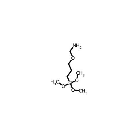 CO[Si](CCCOCN)(OC)OC